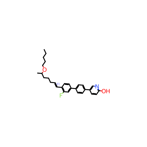 CCCCCOC(C)CCC/C=C/c1ccc(-c2ccc(-c3ccc(O)nc3)cc2)cc1F